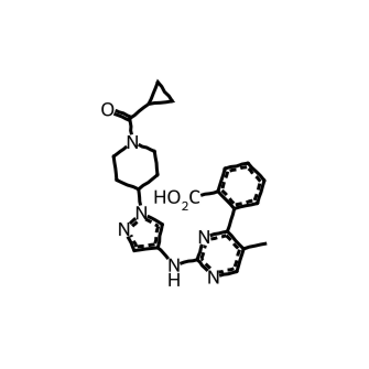 Cc1cnc(Nc2cnn(C3CCN(C(=O)C4CC4)CC3)c2)nc1-c1ccccc1C(=O)O